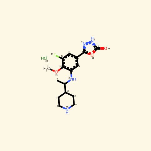 CC(Nc1cc(-c2n[nH]c(=O)o2)cc(F)c1OC(F)(F)F)C1CCNCC1.Cl